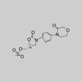 CS(=O)(=O)OC[C@H]1CN(c2ccc(N3CCOCC3=O)cc2)C(=O)O1